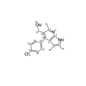 Cc1nc2[nH]c(C)c(C)c2c(-c2ccc(Cl)cc2)c1CO